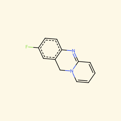 Fc1ccc2c(c1)CN1C=CC=CC1=N2